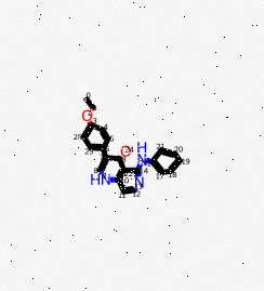 CCOc1ccc(-c2c[nH]c3ccnc(Nc4ccccc4)c3c2=O)cc1